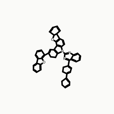 C1=CCCC(C2=CC=C(c3nc(-n4c5c(c6c7c(ccc64)C4C=CC=CC4O7)C=C(c4cccc6c4oc4ccccc46)CC5)nc4ccccc34)CC2)=C1